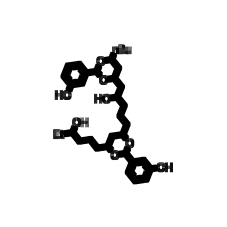 CCCCC1CC(CC(O)CCCC2CC(CCCC(O)CC)OC(c3cccc(O)c3)O2)OC(c2cccc(O)c2)O1